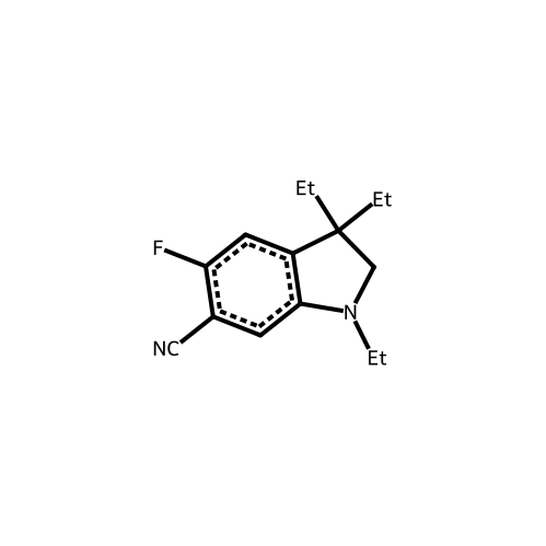 CCN1CC(CC)(CC)c2cc(F)c(C#N)cc21